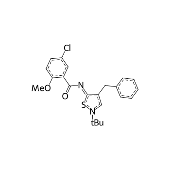 COc1ccc(Cl)cc1C(=O)/N=c1\sn(C(C)(C)C)cc1Cc1ccccc1